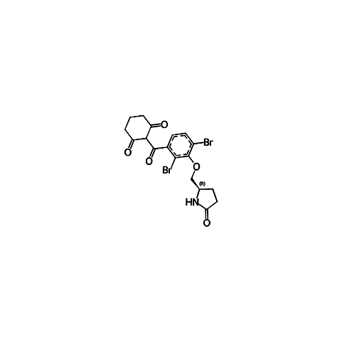 O=C1CC[C@H](COc2c(Br)ccc(C(=O)C3C(=O)CCCC3=O)c2Br)N1